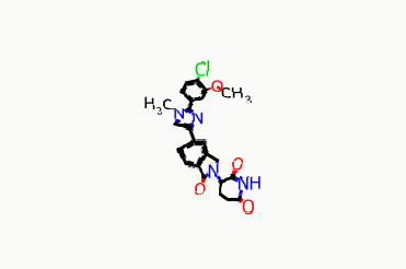 COc1cc(-c2nc(-c3ccc4c(c3)CN(C3CCC(=O)NC3=O)C4=O)cn2C)ccc1Cl